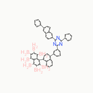 Bc1c(B)c(B)c2c(-c3ccc(-c4cccc(-c5nc(-c6ccccc6)nc(-c6ccc7cc(-c8ccccc8)ccc7c6)n5)c4)c4ccccc34)c(B)c(B)c(B)c2c1B